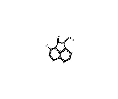 CN1C(=O)c2c(Br)ccc3cccc1c23